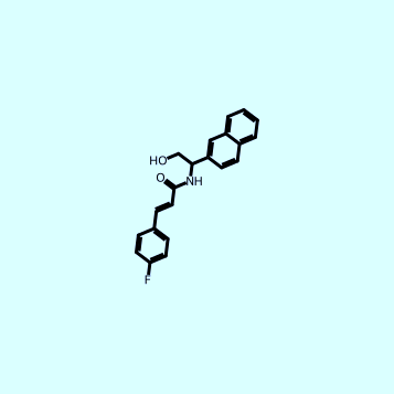 O=C(C=Cc1ccc(F)cc1)NC(CO)c1ccc2ccccc2c1